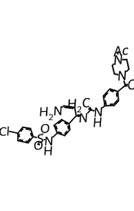 C=C(/N=C(\C=C/N)c1ccc(NS(=O)(=O)c2ccc(Cl)cc2)cc1)Nc1ccc(C(=O)N2CCN(C(C)=O)CC2)cc1